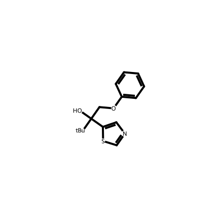 CC(C)(C)C(O)(COc1ccccc1)c1cncs1